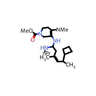 CCCNC(C/C(C)=C\C(C)C1CCC1)NC1=C(NC)CCN(C(=O)OC)C1